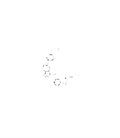 CNc1ncc(-c2cnc3[nH]cc(C(=O)c4ccc(F)c(NS(=O)(=O)CCC(F)(F)F)c4F)c3c2)cn1